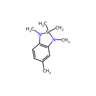 Cc1ccc2c(c1)N(C)[Si](C)(C)N2C